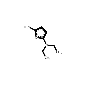 CCN(CC)c1ccc(N)o1